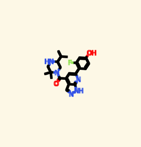 CC(C)C1CN(C(=O)c2cc(-c3ccc(O)cc3F)nc3[nH]ncc23)C(C)(C)CN1